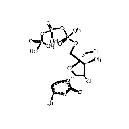 Nc1ccn([C@@H]2O[C@@](CCl)(COP(=O)(O)OP(=O)(O)OP(=O)(O)O)[C@@H](O)[C@H]2Cl)c(=O)n1